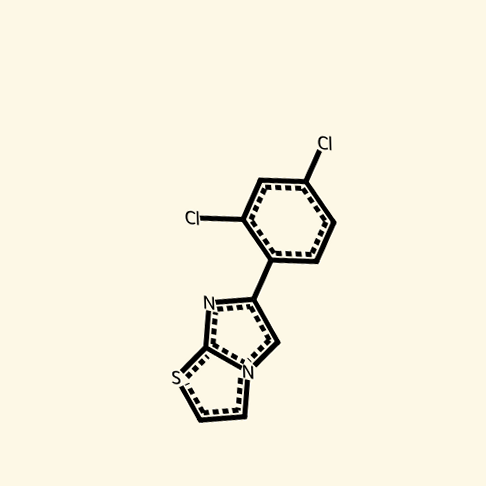 Clc1ccc(-c2cn3ccsc3n2)c(Cl)c1